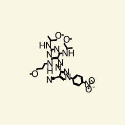 COCCCNc1nc(NC(C)COC)nc(NC(C)COC)c1N=Nc1nn(-c2ccc([N+](=O)[O-])cc2)cc1C#N